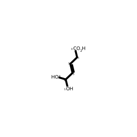 O=C(O)CC=CC(O)O